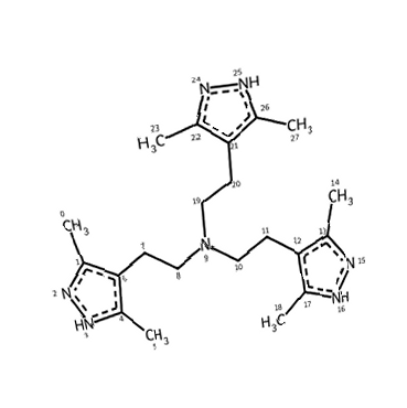 Cc1n[nH]c(C)c1CCN(CCc1c(C)n[nH]c1C)CCc1c(C)n[nH]c1C